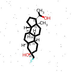 CC(O)[C@H]1CC[C@H]2[C@@H]3CC[C@@H]4C[C@@](O)(CF)CC[C@@H]4[C@H]3CC[C@]12C